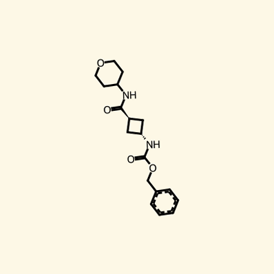 O=C(N[C@H]1C[C@H](C(=O)NC2CCOCC2)C1)OCc1ccccc1